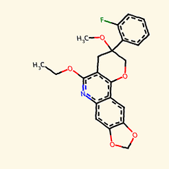 CCOc1nc2cc3c(cc2c2c1CC(OC)(c1ccccc1F)CO2)OCO3